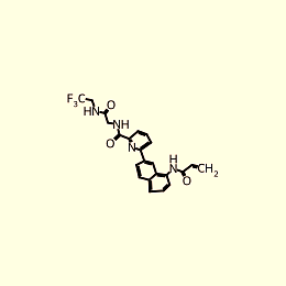 C=CC(=O)Nc1cccc2ccc(-c3cccc(C(=O)NCC(=O)NCC(F)(F)F)n3)cc12